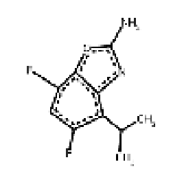 CC(C)c1c(F)cc(F)c2oc(N)nc12